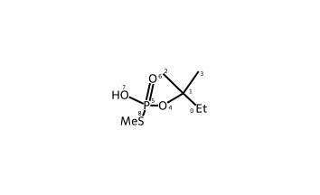 CCC(C)(C)OP(=O)(O)SC